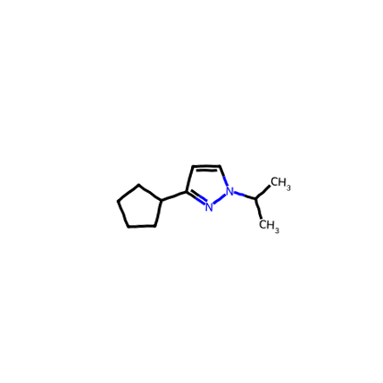 CC(C)n1ccc(C2CCCC2)n1